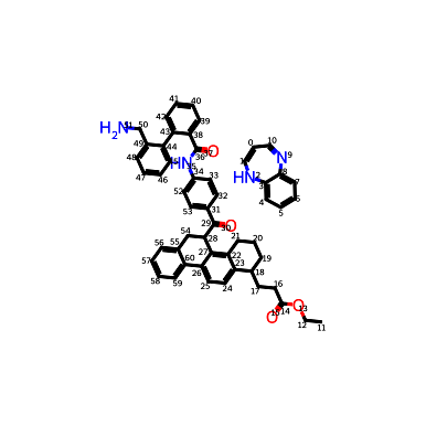 C1=CNc2ccccc2N=C1.CCOC(=O)CCC1CCCc2c1ccc1c2C(C(=O)c2ccc(NC(=O)c3ccccc3-c3ccccc3CN)cc2)Cc2ccccc2-1